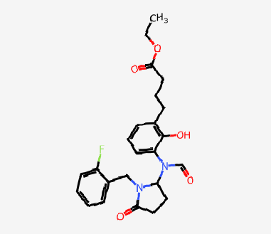 CCOC(=O)CCCc1cccc(N(C=O)C2CCC(=O)N2Cc2ccccc2F)c1O